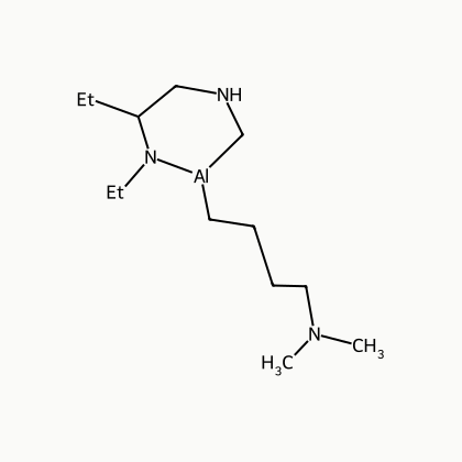 CCC1CN[CH2][Al]([CH2]CCCN(C)C)[N]1CC